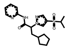 CC(C)S(=O)(=O)c1cnn(C(CC2CCCC2)C(=O)Nc2ccccn2)c1